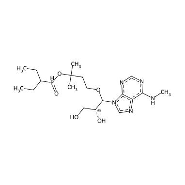 CCC(CC)[PH](=O)OC(C)(C)CCOC([C@H](O)CO)n1cnc2c(NC)ncnc21